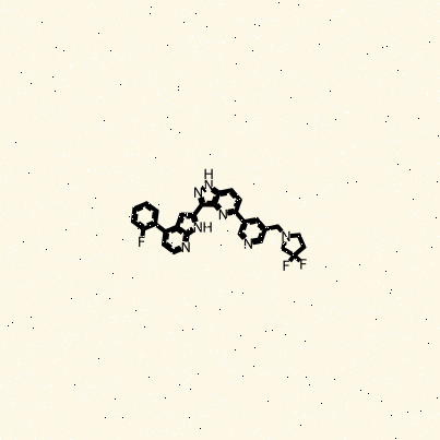 Fc1ccccc1-c1ccnc2[nH]c(-c3n[nH]c4ccc(-c5cncc(CN6CCC(F)(F)C6)c5)nc34)cc12